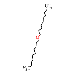 CCCCCCCCCCOCCCCCCCCCC